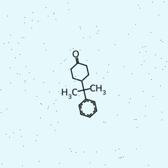 CC(C)(c1ccccc1)C1CCC(=O)CC1